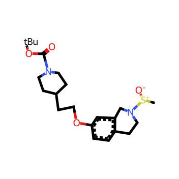 C[S+]([O-])N1CCc2ccc(OCCC3CCN(C(=O)OC(C)(C)C)CC3)cc2C1